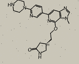 Cn1cnc2cc(-c3ccc(N4CCNCC4)nc3)nc(OCC[C@H]3CNC(=O)C3)c21